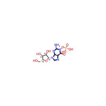 Nc1nc2c(ncn2[C@@H]2O[C@H](CO)[C@@H](O)[C@H]2O)c(=O)n1OP(=O)(O)O